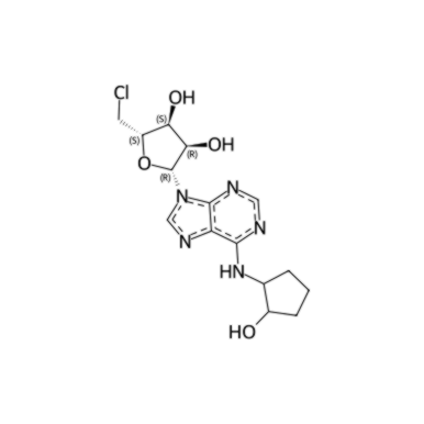 OC1CCCC1Nc1ncnc2c1ncn2[C@@H]1O[C@H](CCl)[C@@H](O)[C@H]1O